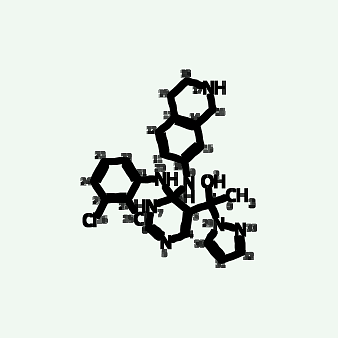 CC(O)(C1=CN=CNC1(Nc1ccc2c(c1)CNCC2)Nc1cccc(Cl)c1Cl)n1cccn1